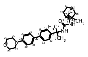 CC(C)(NC(=O)NC1(C)CN2CCC1CC2)c1ccc(-c2ccc(N3CCOCC3)cc2)cc1